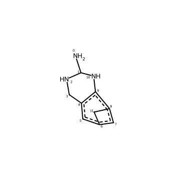 NC1NCc2cc3cc(c2N1)C3